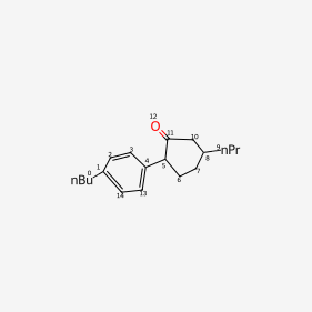 CCCCc1ccc(C2CCC(CCC)CC2=O)cc1